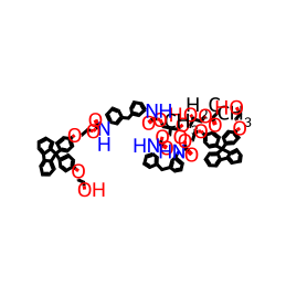 C=C(C)C(=O)OCC(O)COC(=O)C(C)(COC(=O)Nc1cccc(Cc2cccc(NC(=O)OCCOc3ccc(C4(c5ccc(OCCO)cc5)c5ccccc5-c5ccccc54)cc3)c2)c1)COC(=O)Nc1cccc(Cc2cccc(NC(=O)OCCOc3ccc(C4(c5ccc(OCCO)cc5)c5ccccc5-c5ccccc54)cc3)c2)c1